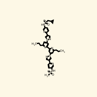 CCCc1cc(-n2cc(-c3ccc(NS(C)(=O)=O)cn3)cn2)cc(-c2cc(-n3cc(-c4ccc(NS(=O)(=O)CC5CC5)cn4)cn3)cc(CCC)n2)n1